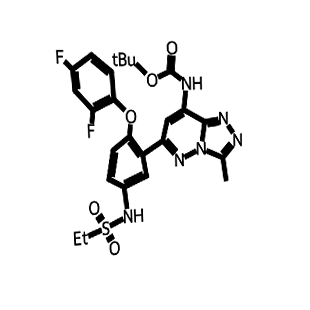 CCS(=O)(=O)Nc1ccc(Oc2ccc(F)cc2F)c(-c2cc(NC(=O)OC(C)(C)C)c3nnc(C)n3n2)c1